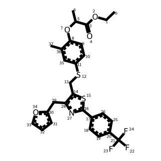 CCOC(=O)C(C)Oc1ccc(SCc2sc(-c3ccc(C(F)(F)F)cc3)nc2Cc2ccco2)cc1C